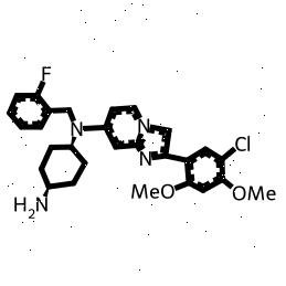 COc1cc(OC)c(-c2cn3ccc(N(Cc4ccccc4F)[C@H]4CC[C@@H](N)CC4)cc3n2)cc1Cl